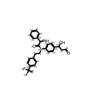 NC(C(=O)N(CCc1ccc(C(F)(F)F)cc1)c1ccc(C(O)CC=O)cc1)c1ccccc1